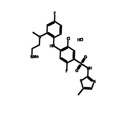 CNCCN(C)c1cc(F)ccc1Nc1cc(F)c(S(=O)(=O)Nc2ncc(C)s2)cc1Cl.Cl